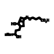 CCCCCCCCCC(O)CCC1CC2C(=NOCCCC(=O)O)CC2C1O